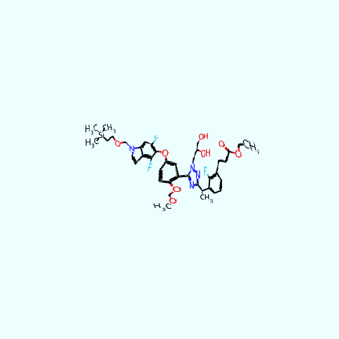 CCOC(=O)CCc1cccc(C(C)c2nc(-c3cc(Oc4c(F)cc5c(ccn5COCC[Si](C)(C)C)c4F)ccc3OCOC)n(CC(O)CO)n2)c1F